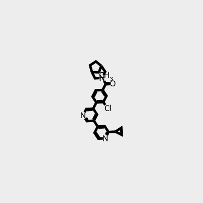 CC1C2CCC1CN(C(=O)c1ccc(-c3cncc(-c4ccnc(C5CC5)c4)c3)c(Cl)c1)C2